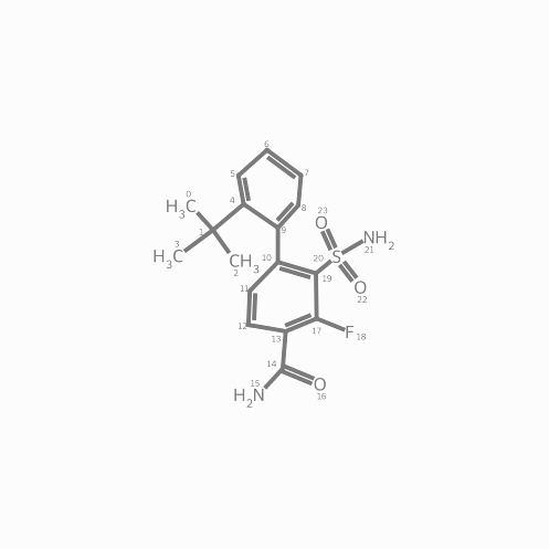 CC(C)(C)c1ccccc1-c1ccc(C(N)=O)c(F)c1S(N)(=O)=O